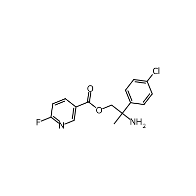 CC(N)(COC(=O)c1ccc(F)nc1)c1ccc(Cl)cc1